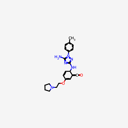 Cc1ccc(-n2nc(NC3C=CC(OCCN4CCCC4)=CC3=C=O)nc2N)cc1